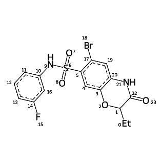 CCC1Oc2cc(S(=O)(=O)Nc3cccc(F)c3)c(Br)cc2NC1=O